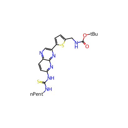 CCCCCNC(=S)Nc1ccc2ncc(-c3ccc(CNC(=O)OC(C)(C)C)s3)nc2n1